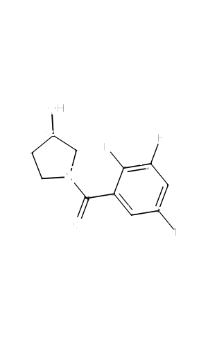 O=C(c1cc(I)cc(F)c1F)N1CCC(O)C1